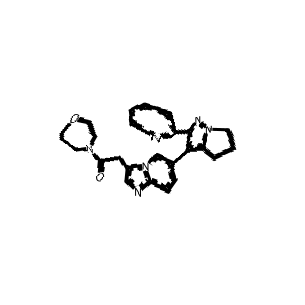 O=C(Cc1cnc2ccc(-c3c(-c4ccccn4)nn4c3CCC4)cn12)N1CCOCC1